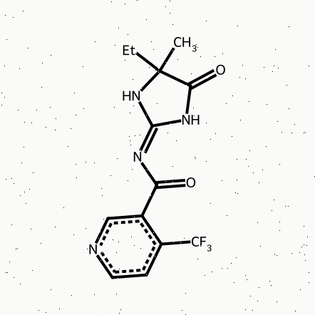 CCC1(C)N/C(=N/C(=O)c2cnccc2C(F)(F)F)NC1=O